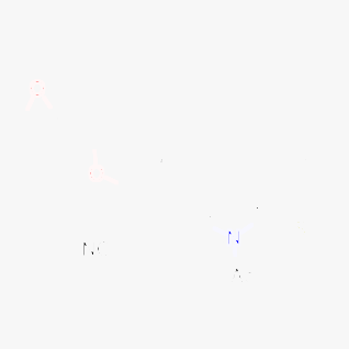 CC(=O)N(c1ccc(OCC2CO2)c(C#N)c1)c1cccs1